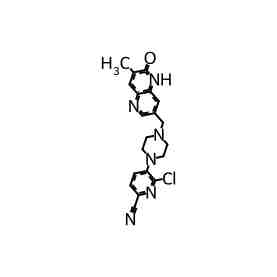 Cc1cc2ncc(CN3CCN(c4ccc(C#N)nc4Cl)CC3)cc2[nH]c1=O